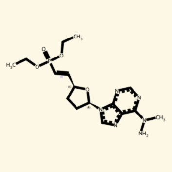 CCOP(=O)(/C=C/[C@@H]1CC[C@H](n2cnc3c(N(C)N)ncnc32)O1)OCC